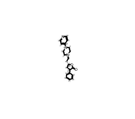 O=C1O[C@@H](CCN2CCN(c3ccncc3)CC2)CC1c1ccccc1